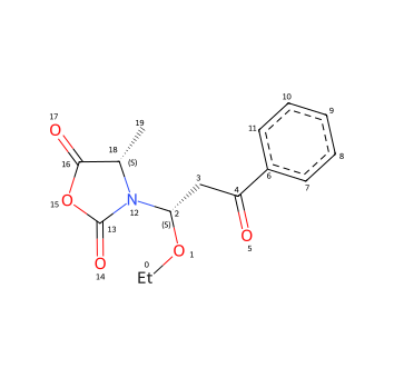 CCO[C@@H](CC(=O)c1ccccc1)N1C(=O)OC(=O)[C@@H]1C